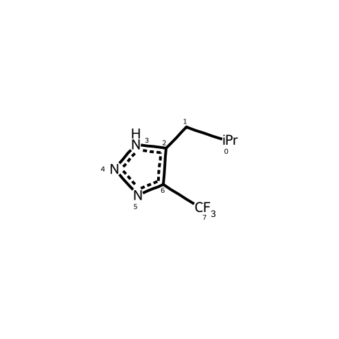 CC(C)Cc1[nH]nnc1C(F)(F)F